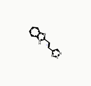 C(=C\c1nc2ccccc2[nH]1)/c1cnsn1